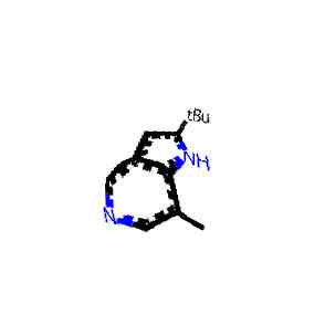 Cc1cncc2cc(C(C)(C)C)[nH]c12